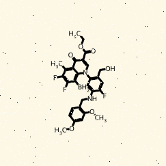 Bc1c(F)c(F)c(C)c2c(=O)c(C(=O)OCC)cn(-c3cc(NCc4ccc(OC)cc4OC)c(F)cc3CO)c12